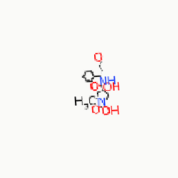 CC1CC(O)(C(=O)N[C@@H](CCC=O)c2ccccc2)CCN1C(=O)O